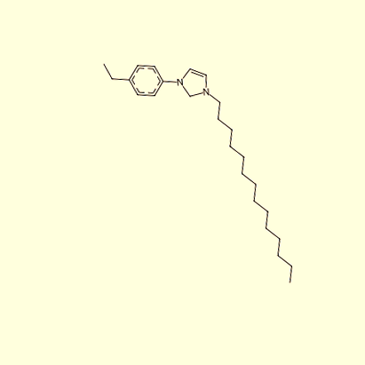 CCCCCCCCCCCCCCN1C=CN(c2ccc(CC)cc2)C1